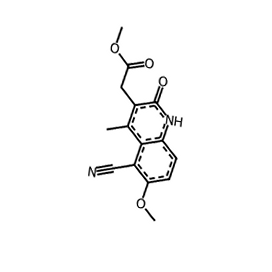 COC(=O)Cc1c(C)c2c(C#N)c(OC)ccc2[nH]c1=O